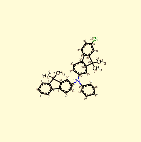 CC1(C)c2ccccc2-c2ccc(N(c3ccccc3)c3ccc4c(c3)C(C)(C)c3cc(Br)ccc3-4)cc21